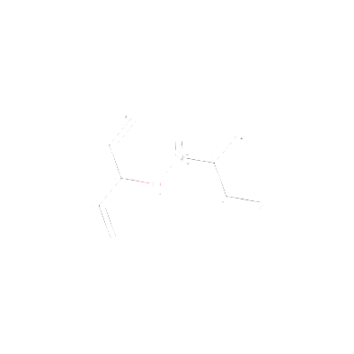 C=CC(C=C)O[SiH2]C(C)CC